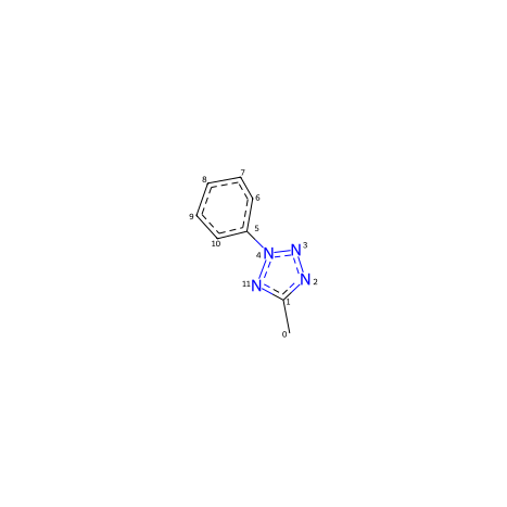 Cc1nnn(-c2ccccc2)n1